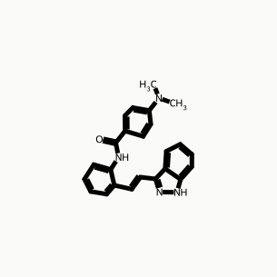 CN(C)c1ccc(C(=O)Nc2ccccc2C=Cc2n[nH]c3ccccc23)cc1